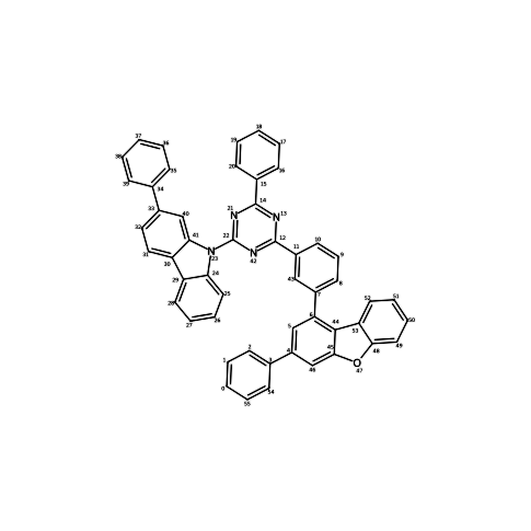 c1ccc(-c2cc(-c3cccc(-c4nc(-c5ccccc5)nc(-n5c6ccccc6c6ccc(-c7ccccc7)cc65)n4)c3)c3c(c2)oc2ccccc23)cc1